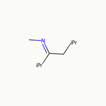 CN=C(CC(C)C)C(C)C